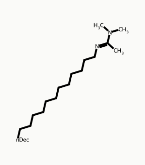 CCCCCCCCCCCCCCCCCCCCCC/N=C(\C)N(C)C